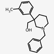 Cc1cccc(C2(CO)CCCN(Cc3ccccc3)C2)c1